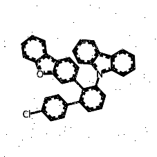 Clc1ccc(-c2cccc(-n3c4ccccc4c4ccccc43)c2-c2ccc3c(c2)oc2ccccc23)cc1